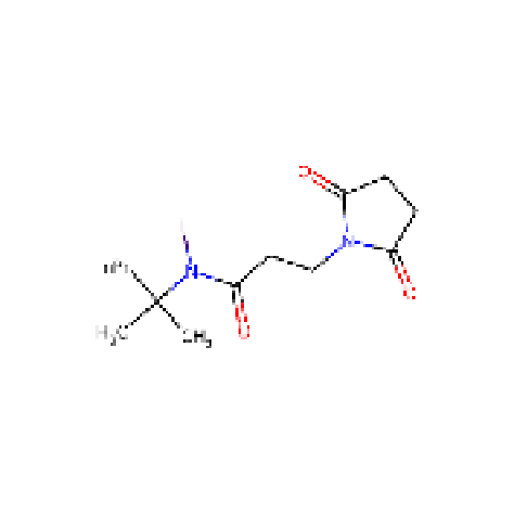 CCCC(C)(C)N(I)C(=O)CCN1C(=O)CCC1=O